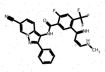 CN/C=C\C(=N)c1cc(C(=O)Nc2c(-c3ccccc3)nn3cc(C#N)ccc23)c(F)cc1C(F)(F)F